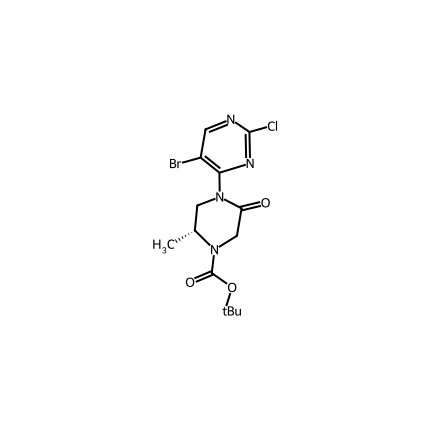 C[C@@H]1CN(c2nc(Cl)ncc2Br)C(=O)CN1C(=O)OC(C)(C)C